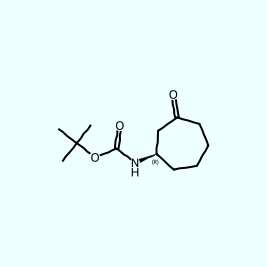 CC(C)(C)OC(=O)N[C@@H]1CCCCC(=O)C1